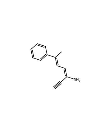 C#C/C(N)=C\C=C(/C)c1ccccc1